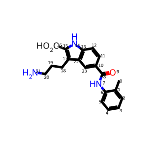 Cc1ccccc1NC(=O)c1ccc2[nH]c(C(=O)O)c(CCCN)c2c1